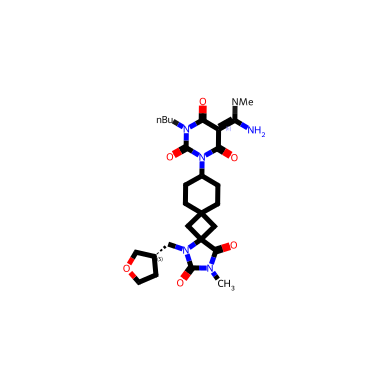 CCCCN1C(=O)/C(=C(/N)NC)C(=O)N(C2CCC3(CC2)CC2(C3)C(=O)N(C)C(=O)N2C[C@@H]2CCOC2)C1=O